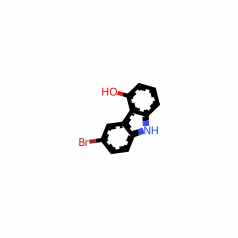 Oc1cccc2[nH]c3ccc(Br)cc3c12